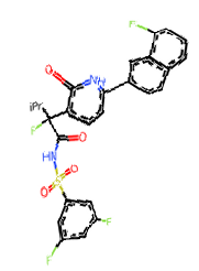 CC(C)C(F)(C(=O)NS(=O)(=O)c1cc(F)cc(F)c1)c1ccc(-c2ccc3cccc(F)c3c2)[nH]c1=O